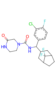 O=C1CN(C(=O)NC(c2ccc(F)c(Cl)c2)C2CC3CCC(C2)C3(F)F)CCN1